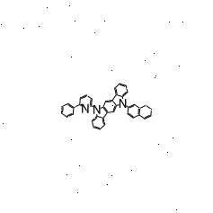 C1=Cc2ccc(-n3c4ccccc4c4cc5c(cc43)c3ccccc3n5-c3cccc(-c4ccccc4)n3)cc2CC1